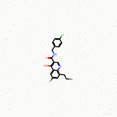 CC(=O)CCc1cc(F)cc2c(O)c(C(=O)NCc3ccc(Cl)cc3)cnc12